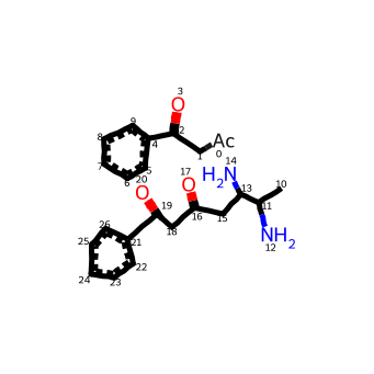 CC(=O)CC(=O)c1ccccc1.CC(N)C(N)CC(=O)CC(=O)c1ccccc1